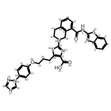 O=C(Nc1nc2ccccc2s1)c1cccc2c1CN(c1nc(C(=O)O)c(CCCOc3ccc(-n4cncn4)cc3)s1)CC2